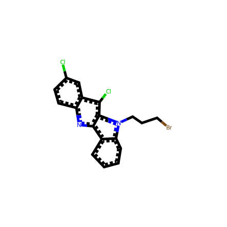 Clc1ccc2nc3c4ccccc4n(CCCBr)c3c(Cl)c2c1